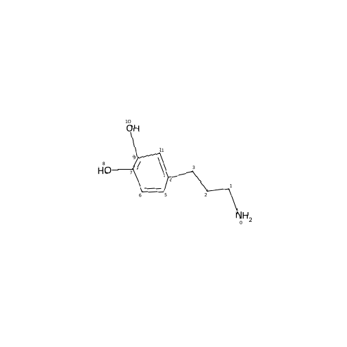 NCCCc1ccc(O)c(O)c1